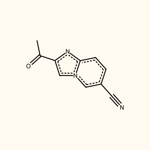 CC(=O)c1cn2cc(C#N)ccc2n1